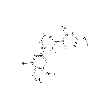 COc1ccc(-c2cccc(-c3cc(F)c(CN)c(OC)c3)c2C)c(F)c1